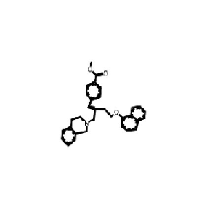 COC(=O)c1ccc(C=C(CCOc2cccc3ccccc23)CN2CCc3ccccc3C2)cc1